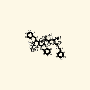 CCC[C@H](NC(=O)[C@H](Cc1ccccc1)C[C@H](O)[C@H](Cc1ccccc1)NC(=O)OC(C)(C)C)C(=O)NC(=N)NC(=O)OCc1ccccc1